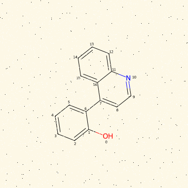 Oc1ccccc1-c1ccnc2ccccc12